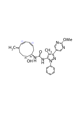 C=C1/C=C\C=C/C[C@@H](NC(=O)Nc2c(C)c(-c3cnc(OC)nc3)nn2-c2ccccc2)[C@H](O)CC1